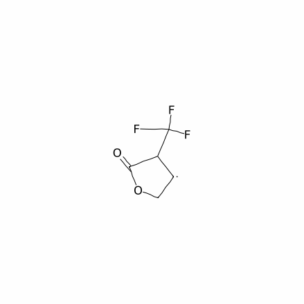 O=C1OC[CH]C1C(F)(F)F